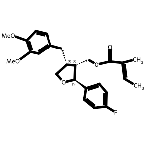 CC=C(C)C(=O)OC[C@H]1[C@@H](Cc2ccc(OC)c(OC)c2)CO[C@@H]1c1ccc(F)cc1